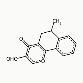 CC1Cc2c(occ(C=O)c2=O)-c2ccccc21